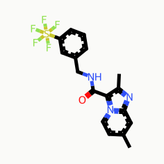 Cc1ccn2c(C(=O)NCc3cccc(S(F)(F)(F)(F)F)c3)c(C)nc2c1